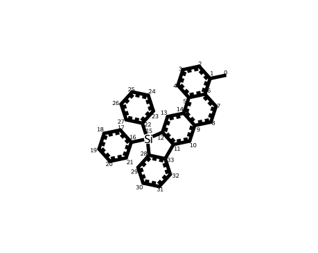 Cc1cccc2c1ccc1cc3c(cc12)[Si](c1ccccc1)(c1ccccc1)c1ccccc1-3